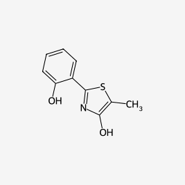 Cc1sc(-c2ccccc2O)nc1O